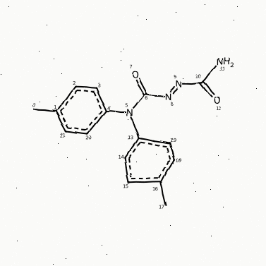 Cc1ccc(N(C(=O)N=NC(N)=O)c2ccc(C)cc2)cc1